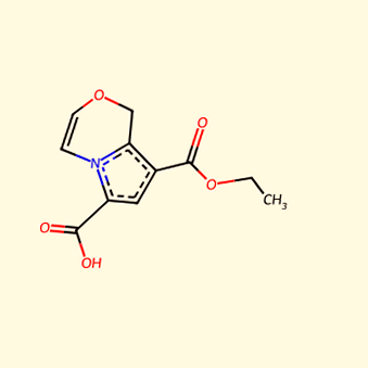 CCOC(=O)c1cc(C(=O)O)n2c1COC=C2